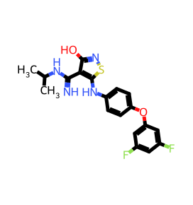 CC(C)NC(=N)c1c(O)nsc1Nc1ccc(Oc2cc(F)cc(F)c2)cc1